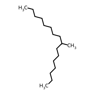 CCCCCCCC[C](C)CCCCCCC